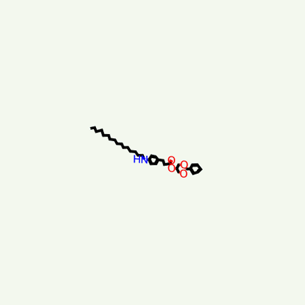 CCCCCCCCCCCCCCCCNc1ccc(CCC(=O)OC2COC(c3ccccc3)OC2)cc1